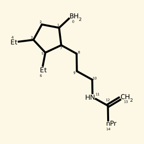 BC1CC(CC)C(CC)C1CCCNC(=C)CCC